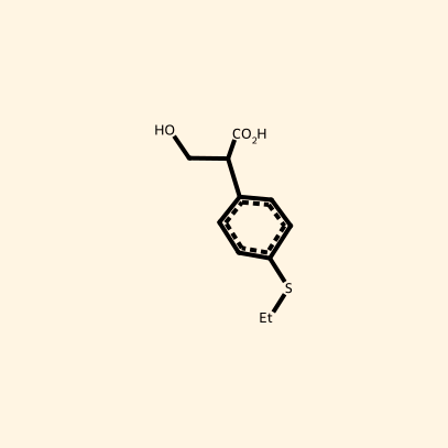 CCSc1ccc(C(CO)C(=O)O)cc1